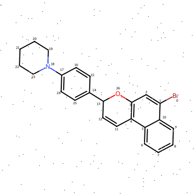 Brc1cc2c(c3ccccc13)C=CC(c1ccc(N3CCCCC3)cc1)O2